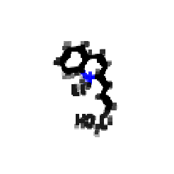 CCN1/C(=C\C=C\C(=O)O)C=Cc2ccccc21